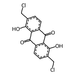 O=C1c2ccc(CCl)c(O)c2C(=O)c2ccc(CCl)c(O)c21